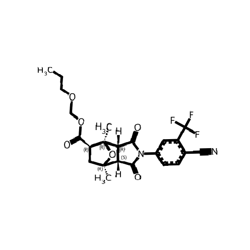 CCCOCOC(=O)[C@@H]1C[C@@]2(C)O[C@]1(C)[C@@H]1C(=O)N(c3ccc(C#N)c(C(F)(F)F)c3)C(=O)[C@@H]12